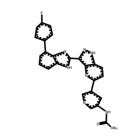 CCCCC(=O)Nc1cncc(-c2ccc3[nH]nc(-c4nc5c(-c6ccc(F)cc6)cccc5[nH]4)c3n2)c1